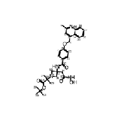 Cc1cc(COc2ccc(C(=O)NC3(CC(=O)NO)CN(C(C)(C)C(=O)OC(C)(C)C)C3)cc2)c2ccccc2n1